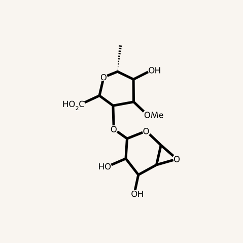 COC1C(OC2OC3OC3C(O)C2O)C(C(=O)O)O[C@H](C)C1O